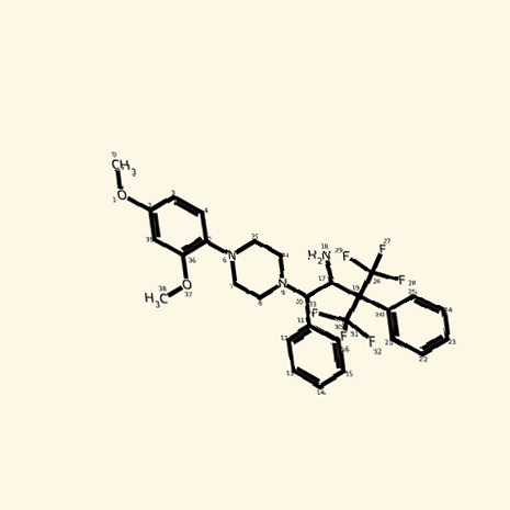 COc1ccc(N2CCN(C(c3ccccc3)C(N)C(c3ccccc3)(C(F)(F)F)C(F)(F)F)CC2)c(OC)c1